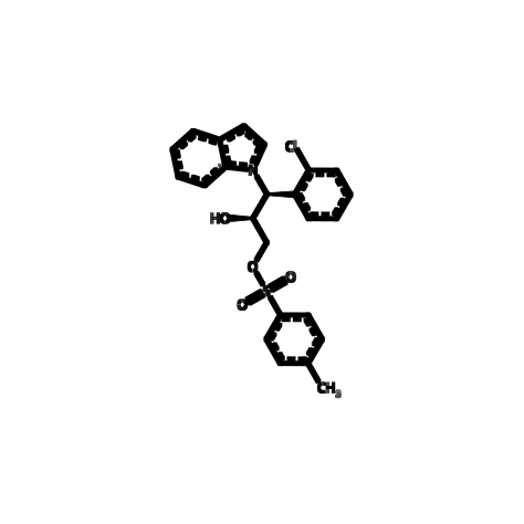 Cc1ccc(S(=O)(=O)OC[C@@H](O)[C@H](c2ccccc2Cl)n2ccc3ccccc32)cc1